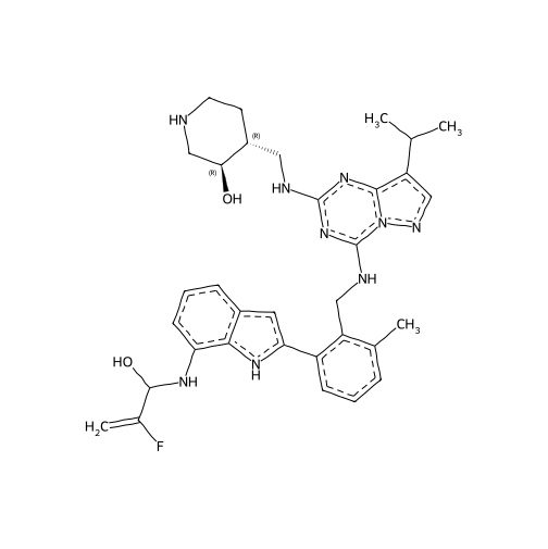 C=C(F)C(O)Nc1cccc2cc(-c3cccc(C)c3CNc3nc(NC[C@H]4CCNC[C@@H]4O)nc4c(C(C)C)cnn34)[nH]c12